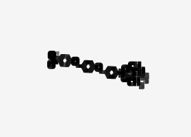 CC1(C)OB(c2ccc(COc3ccc(COc4ccc([N+](=O)[O-])cc4)cc3)cc2)OC1(C)C